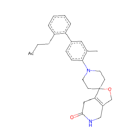 CC(=O)CCc1ccccc1-c1ccc(N2CCC3(CC2)OCC2=C3CC(=O)NC2)c(C)c1